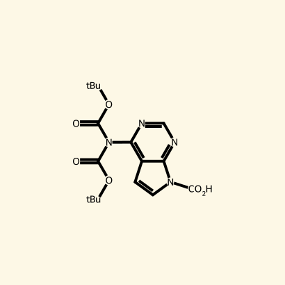 CC(C)(C)OC(=O)N(C(=O)OC(C)(C)C)c1ncnc2c1ccn2C(=O)O